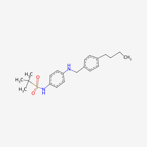 CCCCc1ccc(CNc2ccc(NS(=O)(=O)C(C)(C)C)cc2)cc1